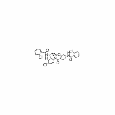 COc1cc(NC(=O)c2ccccc2Cl)ccc1C(=O)N1CCCC(NC(=O)c2ccccc2Cl)c2cc(Cl)ccc21